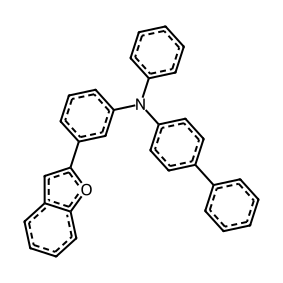 c1ccc(-c2ccc(N(c3ccccc3)c3cccc(-c4cc5ccccc5o4)c3)cc2)cc1